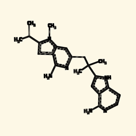 CC(C)c1cc2c(N)nc(CC(C)(C)c3cc4c(N)nccc4[nH]3)cc2n1C